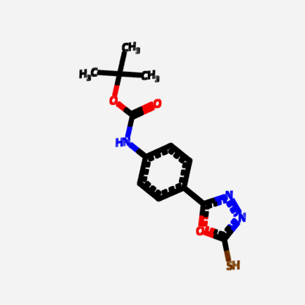 CC(C)(C)OC(=O)Nc1ccc(-c2nnc(S)o2)cc1